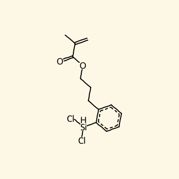 C=C(C)C(=O)OCCCc1ccccc1[SiH](Cl)Cl